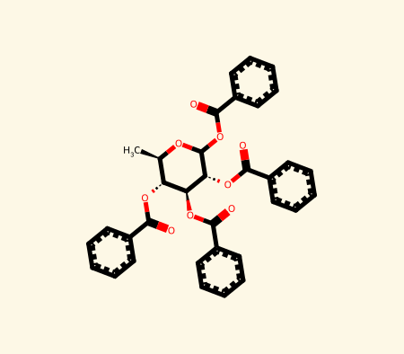 C[C@H]1OC(OC(=O)c2ccccc2)[C@H](OC(=O)c2ccccc2)[C@@H](OC(=O)c2ccccc2)[C@@H]1OC(=O)c1ccccc1